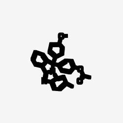 COc1ccc(C2(c3ccc(OC(C)=O)cc3)c3ccccc3-c3nc4ccc(C)cc4n32)cc1